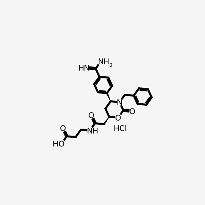 Cl.N=C(N)c1ccc([C@@H]2C[C@H](CC(=O)NCCC(=O)O)OC(=O)N2Cc2ccccc2)cc1